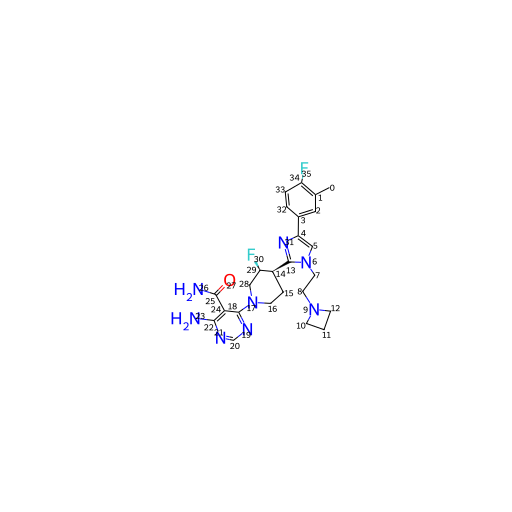 Cc1cc(-c2cn(CCN3CCC3)c([C@H]3CCN(c4ncnc(N)c4C(N)=O)C[C@H]3F)n2)ccc1F